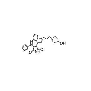 O=C1NC(=O)C(c2cn(CCCN3CCC(O)CC3)c3ccccc23)=C1Nc1ccccc1